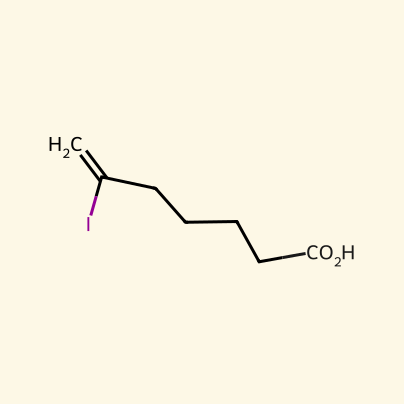 C=C(I)CCCCC(=O)O